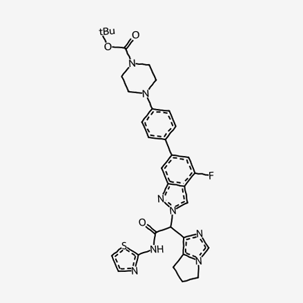 CC(C)(C)OC(=O)N1CCN(c2ccc(-c3cc(F)c4cn(C(C(=O)Nc5nccs5)c5ncn6c5CCC6)nc4c3)cc2)CC1